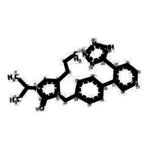 CCCc1cn(C(C)C)c(=O)n1Cc1ccc(-c2cnccc2-c2nnn[nH]2)cc1